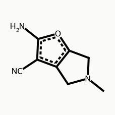 CN1Cc2oc(N)c(C#N)c2C1